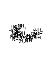 NC[C@H]1O[C@@H](n2cnc3c2N=CN(CNC(=O)C(S)c2nc4c(N)ncnc4n2[C@@H]2O[C@H](CN)C(O)C2O)C3N)C(O)C1O